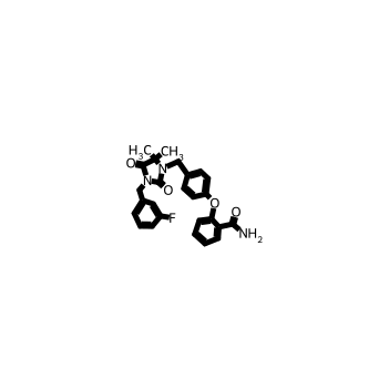 CC1(C)C(=O)N(Cc2cccc(F)c2)C(=O)N1Cc1ccc(Oc2ccccc2C(N)=O)cc1